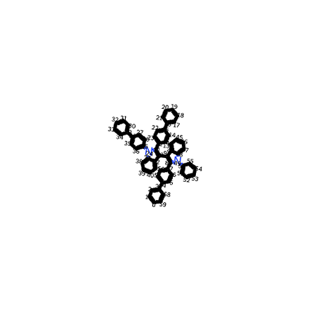 c1ccc(-c2ccc(-c3c(-c4c(-c5ccc(-c6ccccc6)cc5)n(-c5ccc(-c6ccccc6)cc5)c5ccccc45)c4ccccc4n3-c3ccccc3)cc2)cc1